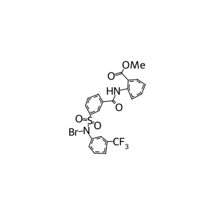 COC(=O)c1ccccc1NC(=O)c1cccc(S(=O)(=O)N(Br)c2cccc(C(F)(F)F)c2)c1